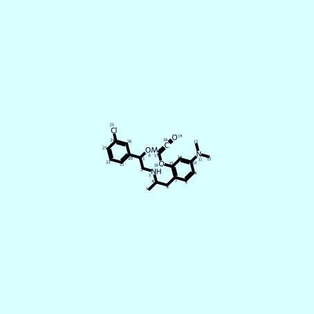 COC(CNC(C)Cc1ccc(N(C)C)cc1OC=C=O)c1cccc(Cl)c1